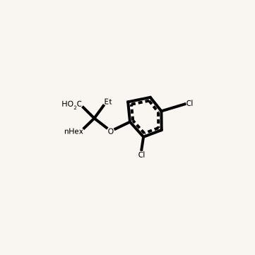 CCCCCCC(CC)(Oc1ccc(Cl)cc1Cl)C(=O)O